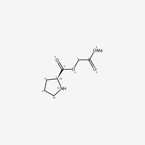 COC(=O)COC(=O)[C@@H]1CCCN1